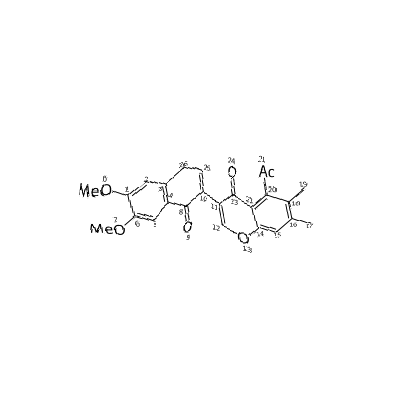 COc1cc2c(cc1OC)C(=O)C(c1coc3cc(C)c(C)c(C(C)=O)c3c1=O)=CC2